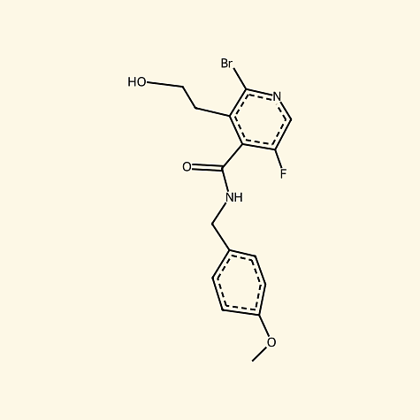 COc1ccc(CNC(=O)c2c(F)cnc(Br)c2CCO)cc1